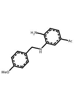 COc1ccc(CNc2cc(C(C)=O)ccc2N)cc1